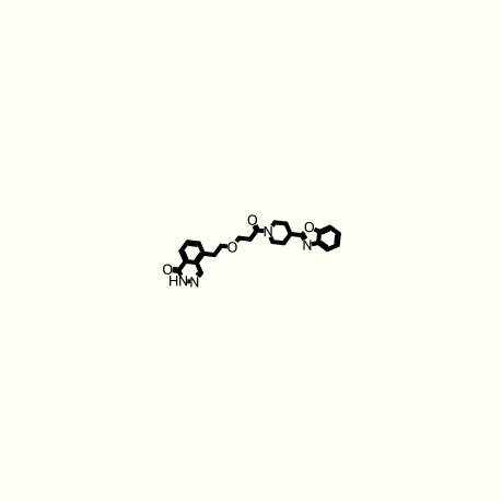 O=C(CCOCCc1cccc2c(=O)[nH]ncc12)N1CCC(c2nc3ccccc3o2)CC1